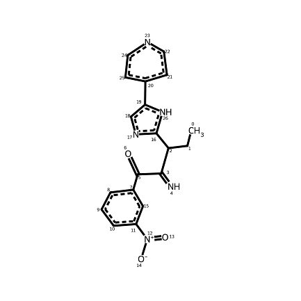 CCC(C(=N)C(=O)c1cccc([N+](=O)[O-])c1)c1ncc(-c2ccncc2)[nH]1